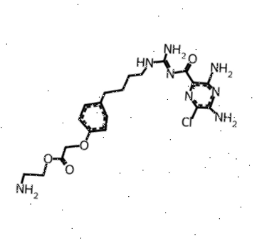 NCCOC(=O)COc1ccc(CCCCNC(N)=NC(=O)c2nc(Cl)c(N)nc2N)cc1